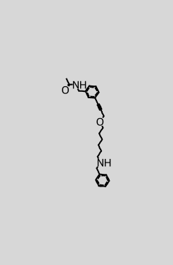 CC(=O)NCc1cccc(C#CCOCCCCCCNCc2ccccc2)c1